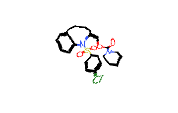 O=C(OCC1CCc2ccccc2N1S(=O)(=O)c1ccc(Cl)cc1)N1CCCCC1